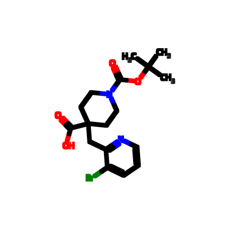 CC(C)(C)OC(=O)N1CCC(Cc2ncccc2Br)(C(=O)O)CC1